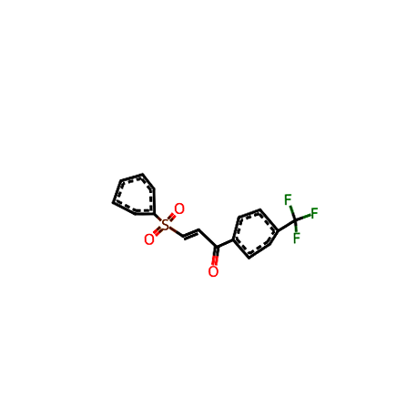 O=C(/C=C/S(=O)(=O)c1ccccc1)c1ccc(C(F)(F)F)cc1